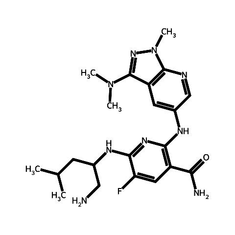 CC(C)CC(CN)Nc1nc(Nc2cnc3c(c2)c(N(C)C)nn3C)c(C(N)=O)cc1F